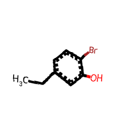 CCc1ccc(Br)c(O)c1